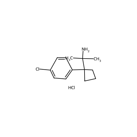 CC(C)(N)C1(c2ccc(Cl)cc2)CCC1.Cl